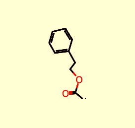 [CH2]C(=O)OCCc1ccccc1